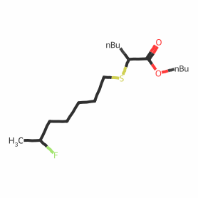 CCCCOC(=O)C(CCCC)SCCCCCC(C)F